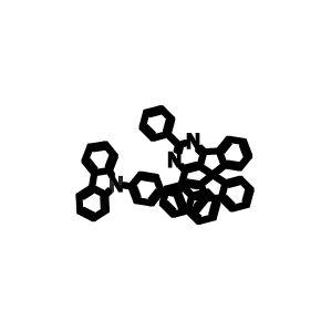 c1ccc(-c2nc3c(c(-c4cccc5ccccc45)n2)C2(c4ccccc4-c4ccc(-c5ccc(-n6c7ccccc7c7ccccc76)cc5)cc42)c2ccccc2-3)cc1